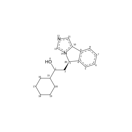 OC(C[C@@H]1c2ccccc2-c2cncn21)C1CCCCC1